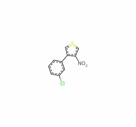 O=[N+]([O-])c1cscc1-c1cccc(Cl)c1